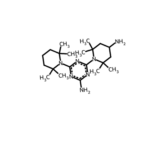 CC1(C)CCCC(C)(C)N1c1nc(N)nc(N2C(C)(C)CC(N)CC2(C)C)n1